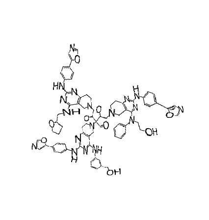 O=CC(C(=O)CN1CCc2nc(Nc3ccc(-c4cnco4)cc3)nc(NCC3CCCO3)c2C1)(C(=O)CN1CCc2nc(Nc3ccc(-c4cnco4)cc3)nc(N(CCO)c3ccccc3)c2C1)N1CCc2nc(Nc3ccc(-c4cnco4)cc3)nc(Nc3cccc(CO)c3)c2C1